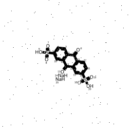 O=C1c2ccc(S(=O)(=O)O)cc2C(=O)c2cc(S(=O)(=O)O)ccc21.[NaH].[NaH]